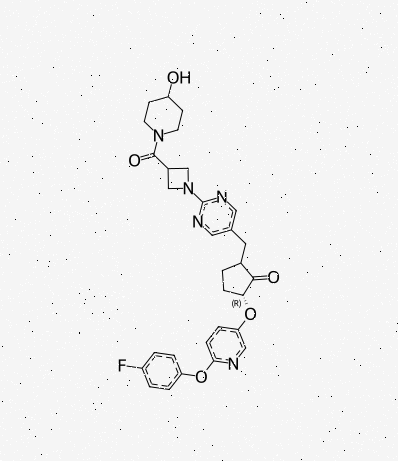 O=C1C(Cc2cnc(N3CC(C(=O)N4CCC(O)CC4)C3)nc2)CC[C@H]1Oc1ccc(Oc2ccc(F)cc2)nc1